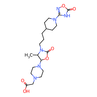 CC1C(N2CCN(CC(=O)O)CC2)OC(=O)N1CCCC1CCN(c2noc(=O)[nH]2)CC1